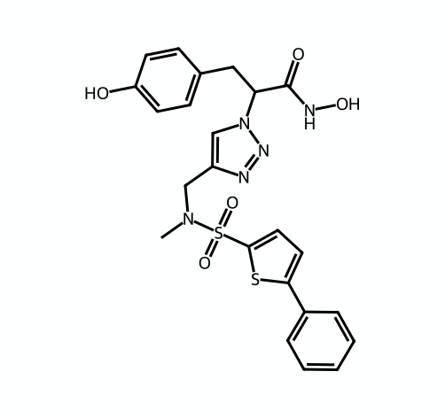 CN(Cc1cn(C(Cc2ccc(O)cc2)C(=O)NO)nn1)S(=O)(=O)c1ccc(-c2ccccc2)s1